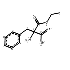 CCOC(=O)C(N)(Cc1ccccc1)C(=O)O